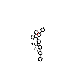 CC1(C)c2cc(-c3ccc(-c4ccccc4)cc3)ccc2-c2ccc(N(c3ccc(-c4ccccc4)cc3)c3ccccc3-c3ccccc3)cc21